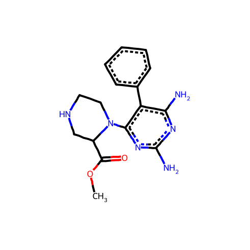 COC(=O)C1CNCCN1c1nc(N)nc(N)c1-c1ccccc1